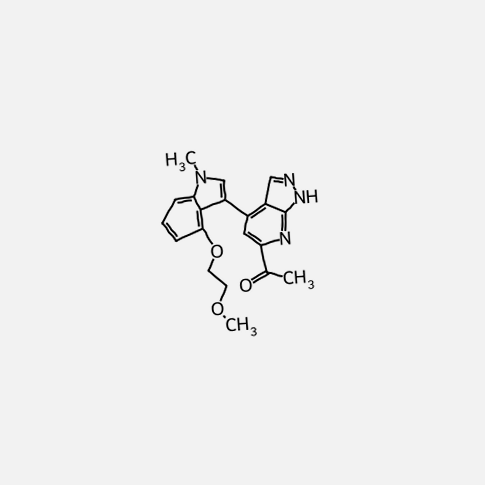 COCCOc1cccc2c1c(-c1cc(C(C)=O)nc3[nH]ncc13)cn2C